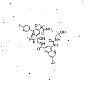 CC(C)(O)CNC(=O)Nc1cc(C(=O)NCC(O)(c2cc3c(c(-c4ccc(F)cc4)n2)OC[C@]3(C)C(N)=O)C(F)(F)F)cc2cc(C3CC3)cnc12